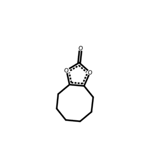 O=c1oc2c(o1)CCCCCC2